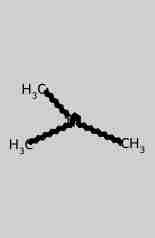 CCCCCCCCCCCCCCN1C=CN(CCCCCCCCCCC)C1CCCCCCCCCCCCC